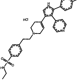 CCNS(=O)(=O)c1ccc(CCN2CC=C(c3c[nH]c(-c4ccc(F)cc4)c3-c3ccncc3)CC2)cc1.Cl